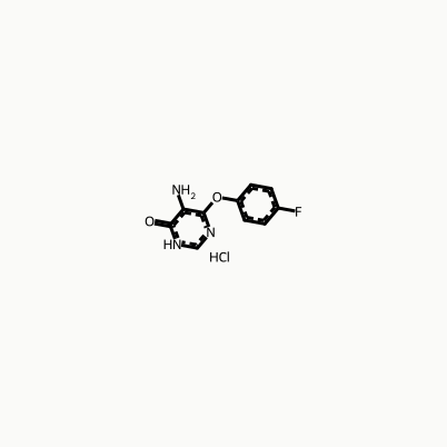 Cl.Nc1c(Oc2ccc(F)cc2)nc[nH]c1=O